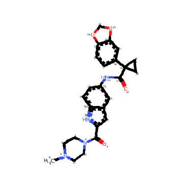 CN1CCN(C(=O)c2cc3cc(NC(=O)C4(c5ccc6c(c5)OCO6)CC4)ccc3[nH]2)CC1